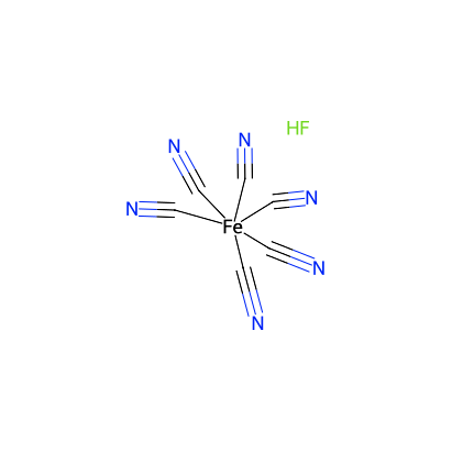 F.N#[C][Fe]([C]#N)([C]#N)([C]#N)([C]#N)[C]#N